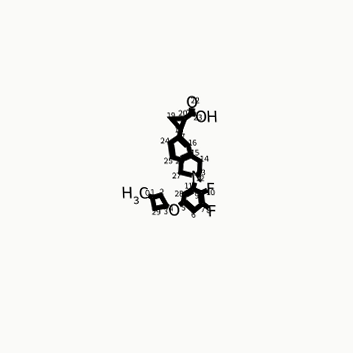 CC1CC(Oc2cc(F)c(F)c(N3CCc4cc(C5CC5C(=O)O)ccc4C3)c2)C1